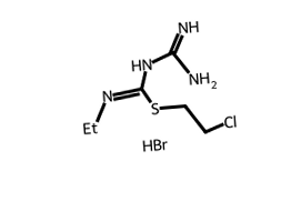 Br.CCN=C(NC(=N)N)SCCCl